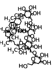 C[C@H](CC[C@@H](O[C@@H]1O[C@H](CO[C@@H]2O[C@H](CCO)C[C@H](O)[C@H]2O)[C@@H](O)[C@H](O)[C@H]1O[C@@H]1OC[C@H](O)[C@@H](O)[C@H]1O)C(C)(C)O)[C@H]1CC[C@@]2(C)[C@@H]3CC=C4[C@@H](CC[C@H](O[C@@H]5C[C@H](CO)[C@@H](O)[C@H](O)[C@H]5O)C4(C)C)[C@]3(C)[C@H](O)C[C@]12C